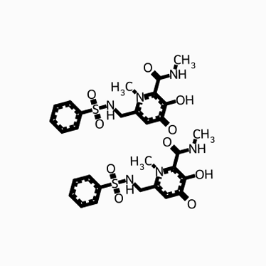 CNC(=O)c1c(O)c(=O)cc(CNS(=O)(=O)c2ccccc2)n1C.CNC(=O)c1c(O)c(=O)cc(CNS(=O)(=O)c2ccccc2)n1C